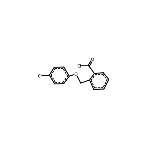 O=C(Cl)c1ccccc1COc1ccc(Cl)cc1